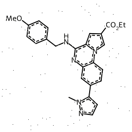 CCOC(=O)c1cc2c(NCc3ccc(OC)cc3)nc3cc(-c4ccnn4C)ccc3n2c1